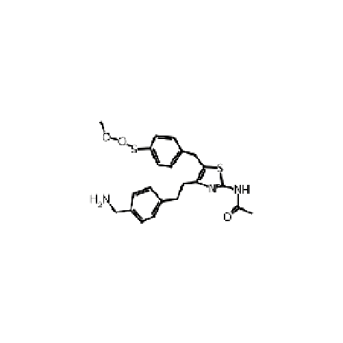 COOSc1ccc(Cc2sc(NC(C)=O)nc2CCc2ccc(CN)cc2)cc1